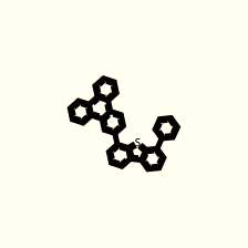 c1ccc(-c2cccc3c2sc2c(-c4ccc5c6ccccc6c6ccccc6c5c4)cccc23)cc1